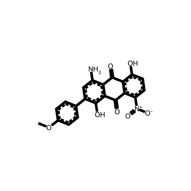 COc1ccc(-c2cc(N)c3c(c2O)C(=O)c2c([N+](=O)[O-])ccc(O)c2C3=O)cc1